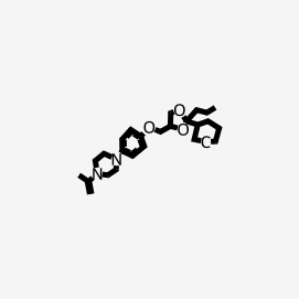 C=C(C)N1CCN(c2ccc(OCC3COC(CCC)(C4CCCCC4)O3)cc2)CC1